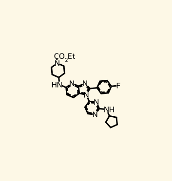 CCOC(=O)N1CCC(Nc2ccc3c(n2)nc(-c2ccc(F)cc2)n3-c2ccnc(NC3CCCC3)n2)CC1